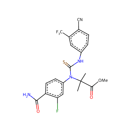 COC(=O)C(C)(C)N(C(=S)Nc1ccc(C#N)c(C(F)(F)F)c1)c1ccc(C(N)=O)c(F)c1